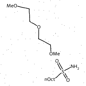 CCCCCCCCS(N)(=O)=O.COCCOCCOC